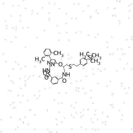 Cc1cccc(C)c1-c1cc2nc(n1)NS(=O)(=O)c1cccc(c1)C(=O)NCC(CSCCc1ccc([Si](C)(C)C)cc1)O2